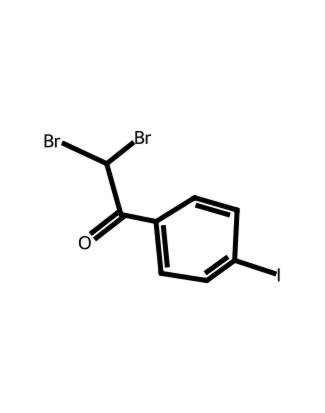 O=C(c1ccc(I)cc1)C(Br)Br